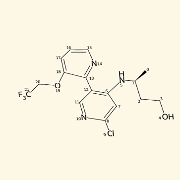 C[C@@H](CCO)Nc1cc(Cl)ncc1-c1ncccc1OCC(F)(F)F